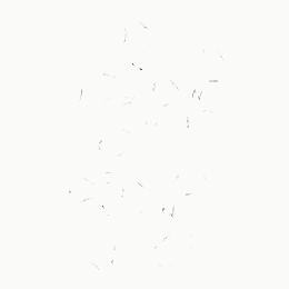 c1ccc(N2c3ccccc3B3c4ccc5c(c4Oc4c3c2cc2c4c3ccccc3n2-c2ccccc2)Oc2c3c(cc4c2c2ccccc2n4-c2ccccc2)N(c2ccccc2)c2ccccc2B53)cc1